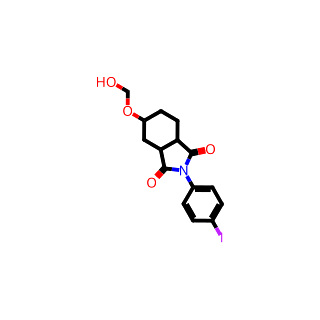 O=C1C2CCC(OCO)CC2C(=O)N1c1ccc(I)cc1